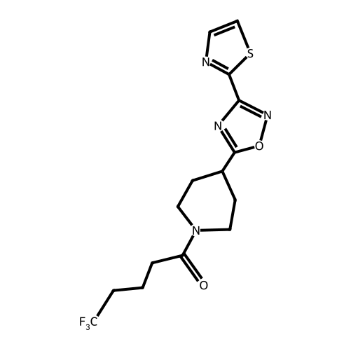 O=C(CCCC(F)(F)F)N1CCC(c2nc(-c3nccs3)no2)CC1